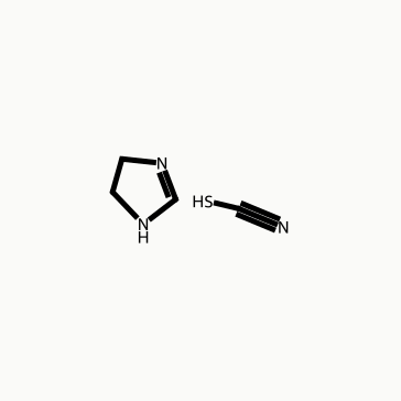 C1=NCCN1.N#CS